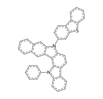 c1ccc(-n2c3ccccc3c3ccc4c(c5cc6ccccc6cc5n4-c4ccc5c(c4)sc4ccccc45)c32)cc1